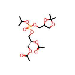 CC(=O)OC[C@H](COP(=O)(OCC1COC(C)(C)O1)OC(C)C)OC(C)=O